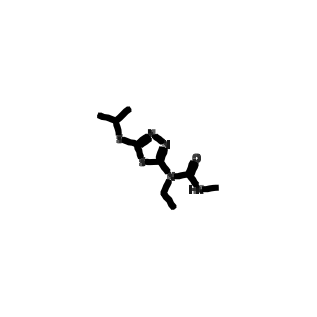 CCN(C(=O)NC)c1nnc(SC(C)C)s1